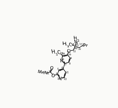 CNC(=O)Oc1cc(-c2ccc(OC[C@](C)(N)CC(C)C)c(C)n2)ccn1